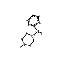 CN1CCN(N(C)c2nc[c]cn2)CC1